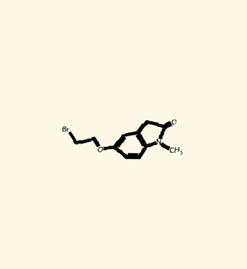 CN1C(=O)Cc2cc(OCCBr)ccc21